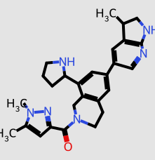 Cc1cc(C(=O)N2CCc3cc(-c4cnc5c(c4)C(C)CN5)cc(C4CCCN4)c3C2)nn1C